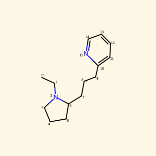 CCN1CCCC1C[CH]Cc1ccccn1